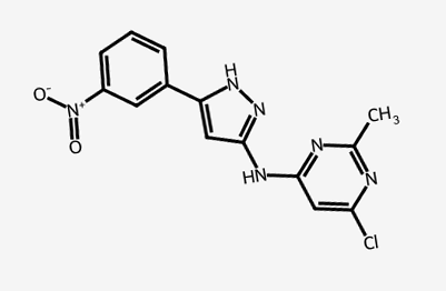 Cc1nc(Cl)cc(Nc2cc(-c3cccc([N+](=O)[O-])c3)[nH]n2)n1